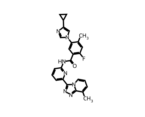 Cc1cc(F)c(C(=O)Nc2cccc(-c3nnc4c(C)cccn34)n2)cc1-n1cnc(C2CC2)c1